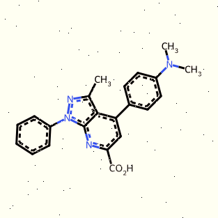 Cc1nn(-c2ccccc2)c2nc(C(=O)O)cc(-c3ccc(N(C)C)cc3)c12